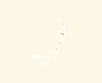 CCCCCCCCCCCCCC(C)C(=O)OCCCOP(=O)(O)OC[C@H](N)C(=O)O